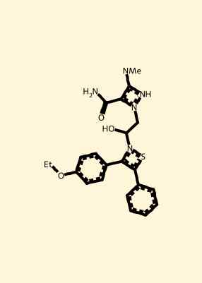 CCOc1ccc(-c2c(-c3ccccc3)sn2C(O)Cn2[nH]c(NC)c2C(N)=O)cc1